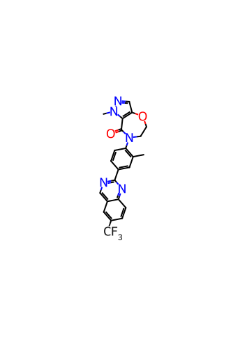 Cc1cc(-c2ncc3cc(C(F)(F)F)ccc3n2)ccc1N1CCOc2cnn(C)c2C1=O